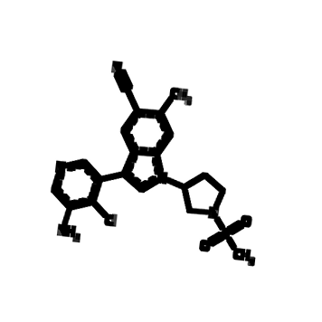 Cc1cc2c(cc1C#N)c(-c1cncc(N)c1Cl)cn2C1CCN(S(C)(=O)=O)C1